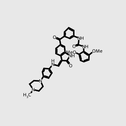 COc1cccc(OC)c1NC(=O)Nc1cccc(C(=O)c2ccc3c(c2)NC(=O)C3=CNc2ccc(N3CCN(C)CC3)cc2)c1